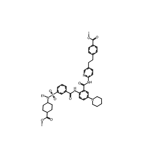 CCN(C1CCC(C(=O)OI)CC1)S(=O)(=O)c1cccc(C(=O)Nc2ccc(N3CCCCC3)cc2C(=O)Nc2ccc(CCc3ccc(C(=O)OI)cc3)cn2)c1